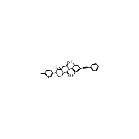 Cc1ccc(N2CCN3C(=O)N(c4c(F)cc(C#Cc5ccccc5)cc4F)C(=O)CC3(C)C2=O)cn1